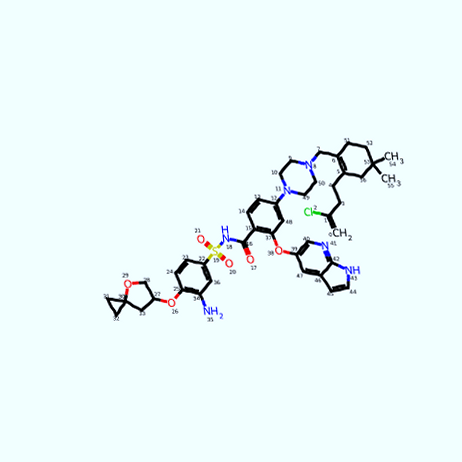 C=C(Cl)CCC1=C(CN2CCN(c3ccc(C(=O)NS(=O)(=O)c4ccc(OC5COC6(CC6)C5)c(N)c4)c(Oc4cnc5[nH]ccc5c4)c3)CC2)CCC(C)(C)C1